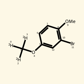 [2H]C([2H])([2H])Oc1ccc(OC)c(Br)c1